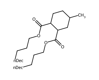 CCCCCCCCCCCCCOC(=O)C1CCC(C)CC1C(=O)OCCCCCCCCCCCCC